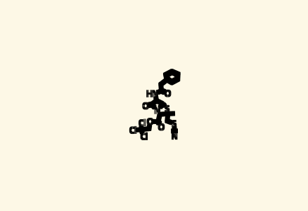 CC1(CSC#N)SC2C(NC(=O)Cc3ccccc3)C(=O)N2C1C(=O)OCC(Cl)(Cl)Cl